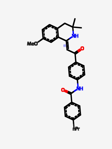 CCCc1ccc(C(=O)Nc2ccc(C(=O)/C=C3\NC(C)(C)Cc4ccc(OC)cc43)cc2)cc1